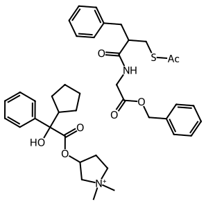 CC(=O)SCC(Cc1ccccc1)C(=O)NCC(=O)OCc1ccccc1.C[N+]1(C)CCC(OC(=O)C(O)(c2ccccc2)C2CCCC2)C1